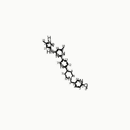 COc1ccc(CN2CCC(c3ccc(-c4nc(C)cc(Nc5cc(C)[nH]n5)n4)cn3)CC2)cn1